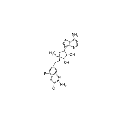 C=C[C@]1(CCc2cc(F)c3cc(Cl)c(N)nc3c2)C[C@@H](n2ccc3c(N)ncnc32)[C@H](O)[C@@H]1O